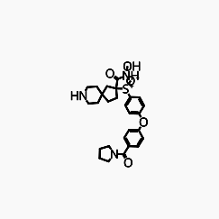 O=C(c1ccc(Oc2ccc([S+]([O-])C3(C(=O)NO)CCC4(CCNCC4)C3)cc2)cc1)N1CCCC1